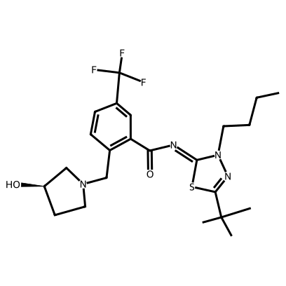 CCCCn1nc(C(C)(C)C)s/c1=N\C(=O)c1cc(C(F)(F)F)ccc1CN1CC[C@@H](O)C1